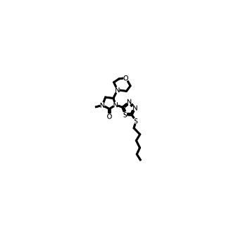 CCCCCCSc1nnc(N2C(=O)N(C)CC2N2CCOCC2)s1